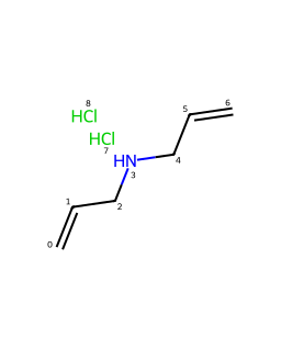 C=CCNCC=C.Cl.Cl